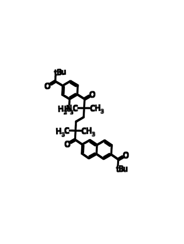 CC(C)(C)C(=O)c1ccc(C(=O)C(C)(C)CCC(C)(C)C(=O)c2ccc3cc(C(=O)C(C)(C)C)ccc3c2)c(N)c1